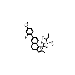 CCC(F)[NH2+][B-](F)(F)n1c(C)cc2c1-c1ccc(-c3ccc(OC)cc3F)cc1CC2